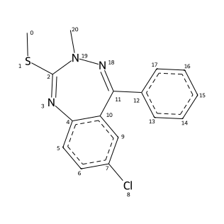 CSC1=Nc2ccc(Cl)cc2C(c2ccccc2)=NN1C